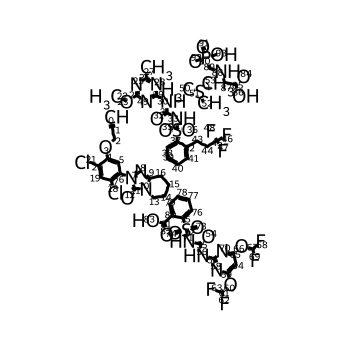 C#CCOc1cc(-n2nc3n(c2=O)CCCC3)c(Cl)cc1Cl.COc1nc(C)nc(NC(=O)NS(=O)(=O)c2ccccc2CCC(F)(F)F)n1.C[S+](C)C.O=C(Nc1nc(OC(F)F)cc(OC(F)F)n1)NS(=O)(=O)c1ccccc1C(=O)O.O=C(O)CNCP(=O)([O-])O